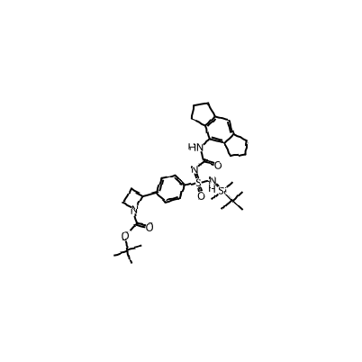 CC(C)(C)OC(=O)N1CCC1c1ccc(S(=O)(=NC(=O)Nc2c3c(cc4c2CCC4)CCC3)N[Si](C)(C)C(C)(C)C)cc1